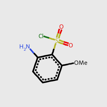 COc1cccc(N)c1S(=O)(=O)Cl